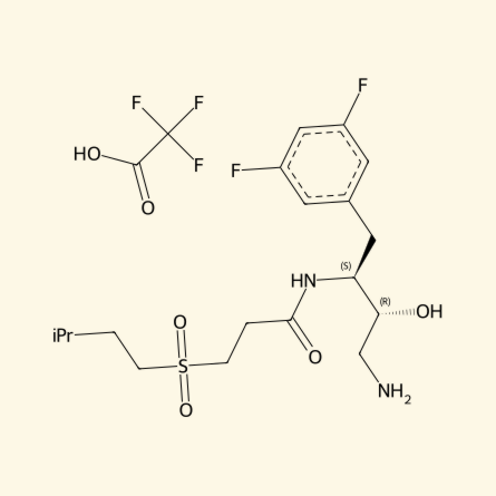 CC(C)CCS(=O)(=O)CCC(=O)N[C@@H](Cc1cc(F)cc(F)c1)[C@H](O)CN.O=C(O)C(F)(F)F